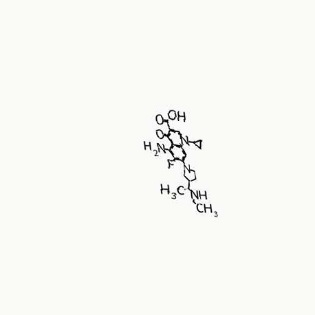 CCN[C@H](C)[C@@H]1CCN(c2cc3c(c(N)c2F)c(=O)c(C(=O)O)cn3C2CC2)C1